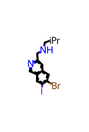 CC(C)CNCc1cc2cc(Br)c(I)cc2cn1